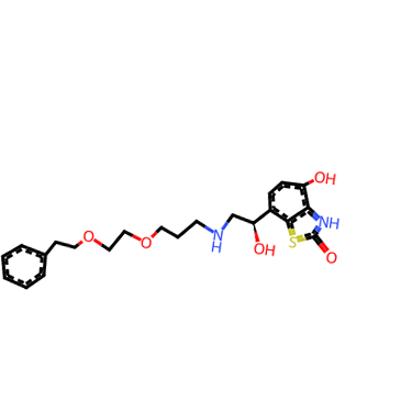 O=c1[nH]c2c(O)ccc([C@@H](O)CNCCCOCCOCCc3ccccc3)c2s1